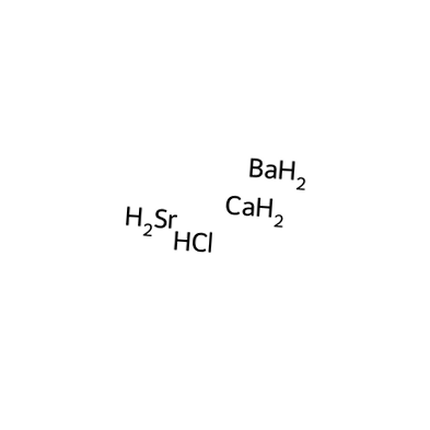 Cl.[BaH2].[CaH2].[SrH2]